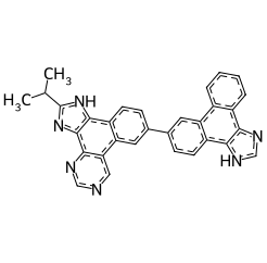 CC(C)c1nc2c3ncncc3c3cc(-c4ccc5c(c4)c4ccccc4c4nc[nH]c54)ccc3c2[nH]1